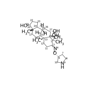 CC1(C)/C(=N/O[C@@H]2CCNC2)CC[C@]2(C)[C@H]3CC[C@]4(C)[C@@H](O)CC[C@H]4[C@@H]3C[C@H](O)[C@@]12O